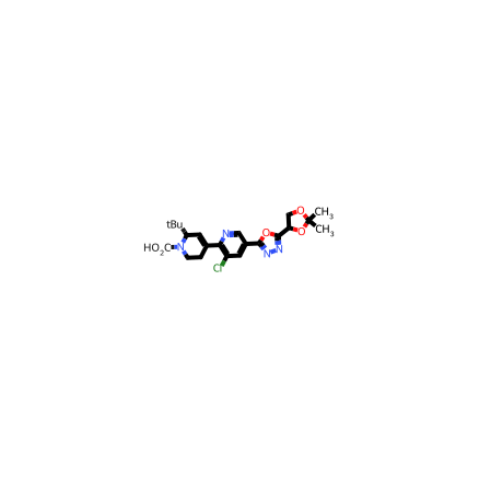 CC1(C)OCC(c2nnc(-c3cnc(C4=CC(C(C)(C)C)N(C(=O)O)CC4)c(Cl)c3)o2)O1